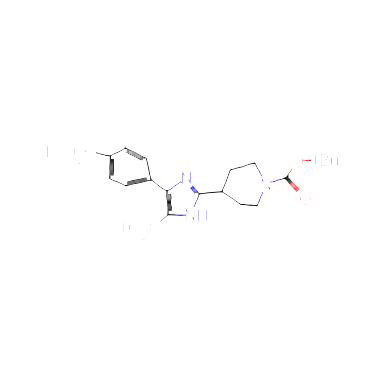 CCOC(=O)c1ccc(-c2nc(C3CCN(C(=O)OC(C)(C)C)CC3)[nH]c2C(=O)OCC)cc1